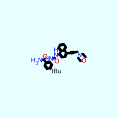 CC(C)(C)c1ccc(C(N)=O)c(NC(=O)Nc2ccc(C#CCN3CCOCC3)c3ccccc23)c1